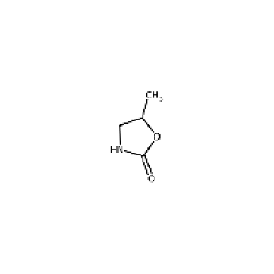 CC1CNC(=O)O1